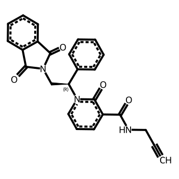 C#CCNC(=O)c1cccn([C@@H](CN2C(=O)c3ccccc3C2=O)c2ccccc2)c1=O